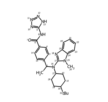 CC(c1ccc(C(=O)Nc2nnn[nH]2)cc1)N(c1nc2ccccc2n1C)C1CCC(C(C)(C)C)CC1